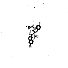 CC(NC(=O)C(Cc1ccc(F)cc1)N1C(=O)OC2(CCc3cc(Br)ccc32)C1=O)C1CC1